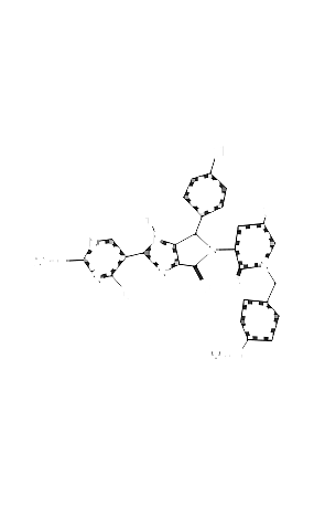 COc1ccc(Cn2cc(Cl)cc(N3C(=O)c4nc(-c5cnc(OC)nc5O)n(C(C)C)c4C3c3ccc(Cl)cc3)c2=O)cc1